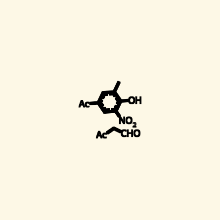 CC(=O)CC=O.CC(=O)c1cc(C)c(O)c([N+](=O)[O-])c1